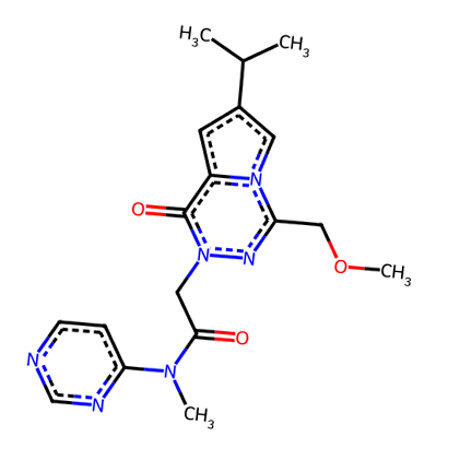 COCc1nn(CC(=O)N(C)c2ccncn2)c(=O)c2cc(C(C)C)cn12